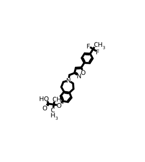 CC(C)(Oc1ccc2c(c1)CCN(Cc1cc(-c3ccc(C(C)(F)F)cc3)on1)CC2)C(=O)O